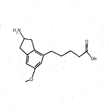 COc1cc(CCCCC(=O)O)c2c(c1)CC(N)C2